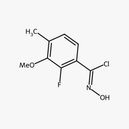 COc1c(C)ccc(C(Cl)=NO)c1F